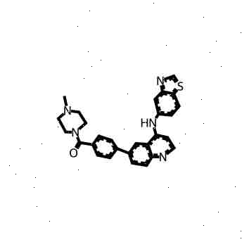 CN1CCN(C(=O)c2ccc(-c3ccc4nccc(Nc5ccc6scnc6c5)c4c3)cc2)CC1